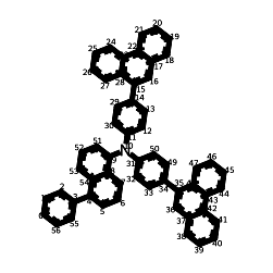 c1ccc(-c2cccc3c(N(c4ccc(-c5cc6ccccc6c6ccccc56)cc4)c4ccc(-c5cc6ccccc6c6ccccc56)cc4)cccc23)cc1